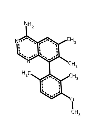 COc1ccc(C)c(-c2c(C)c(C)cc3c(N)ncnc23)c1C